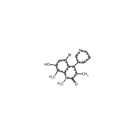 Cc1c(-c2cccnc2)c2c(Br)cc(O)c(C)c2n(C)c1=O